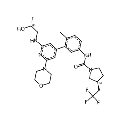 Cc1ccc(NC(=O)N2CC[C@@H](CC(F)(F)F)C2)cc1-c1cc(NC[C@@H](C)O)nc(N2CCOCC2)c1